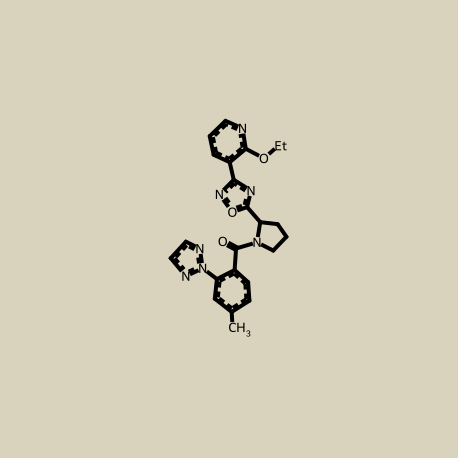 CCOc1ncccc1-c1noc(C2CCCN2C(=O)c2ccc(C)cc2-n2nccn2)n1